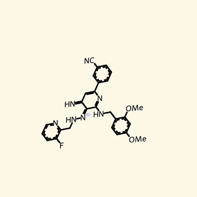 COc1ccc(CNC2=NC(c3cccc(C#N)c3)=CC(=N)/C2=N\NCc2ncccc2F)c(OC)c1